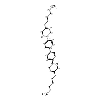 CCCCCCC1CCC(c2ccc(-c3ccc([C@H]4CC[C@H](CCCCCC)CC4)cc3)cc2)OC1